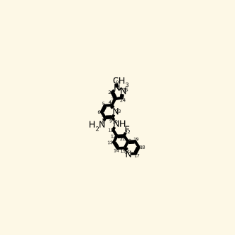 Cn1cc(-c2ccc(N)c(NCc3ccc4ncccc4c3F)n2)cn1